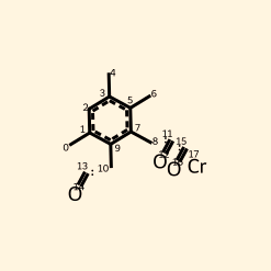 Cc1cc(C)c(C)c(C)c1C.[C]=O.[C]=O.[C]=O.[Cr]